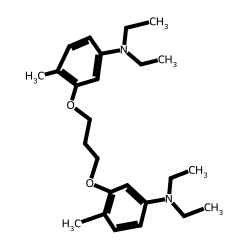 CCN(CC)c1ccc(C)c(OCCCOc2cc(N(CC)CC)ccc2C)c1